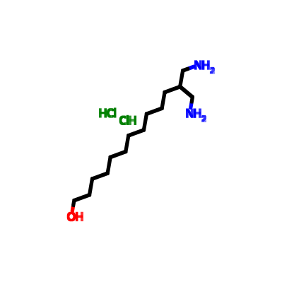 Cl.Cl.NCC(CN)CCCCCCCCCCCO